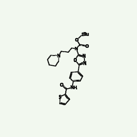 CC(C)(C)OC(=O)N(CCCN1CCCCC1)c1nnc(-c2ccc(NC(=O)c3cccs3)cc2)o1